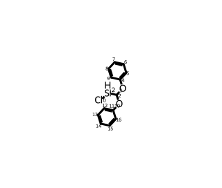 Cl[SiH2]C(Oc1ccccc1)Oc1ccccc1